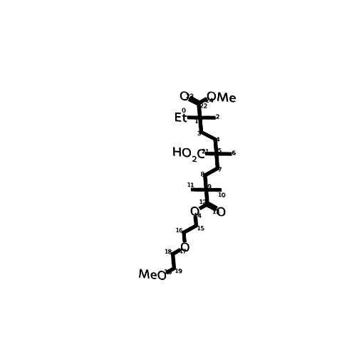 CCC(C)(CCC(C)(CCC(C)(C)C(=O)OCCOCCOC)C(=O)O)C(=O)OC